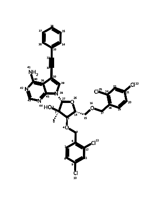 C[C@@]1(O)[C@H](OCc2ccc(Cl)cc2Cl)[C@@H](COCc2ccc(Cl)cc2Cl)O[C@H]1n1cc(C#Cc2ccccc2)c2c(N)ncnc21